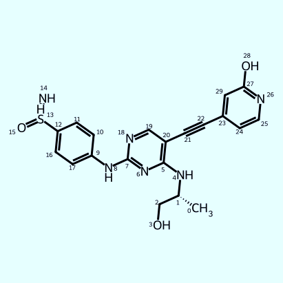 C[C@H](CO)Nc1nc(Nc2ccc([SH](=N)=O)cc2)ncc1C#Cc1ccnc(O)c1